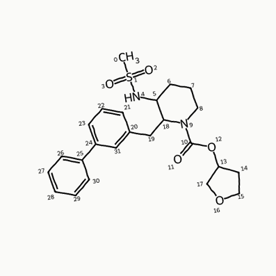 CS(=O)(=O)NC1CCCN(C(=O)OC2CCOC2)C1Cc1cccc(-c2ccccc2)c1